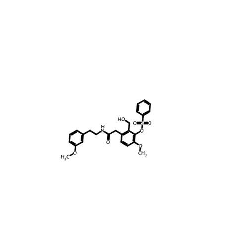 COc1cccc(CCNC(=O)Cc2ccc(OC)c(OS(=O)(=O)c3ccccc3)c2CO)c1